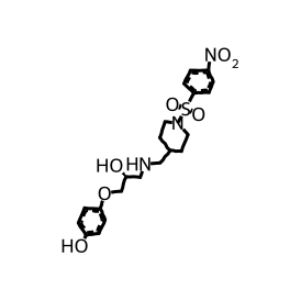 O=[N+]([O-])c1ccc(S(=O)(=O)N2CCC(CNC[C@H](O)COc3ccc(O)cc3)CC2)cc1